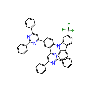 FC(F)(F)c1ccc2c3ccccc3n(-c3ccc(-c4cc(-c5ccccc5)nc(-c5ccccc5)n4)cc3-c3cc(-c4ccccc4)nc(-c4ccccc4)n3)c2c1